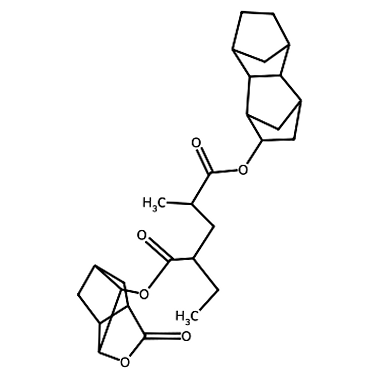 CCC(CC(C)C(=O)OC1CC2CC1C1C3CCC(C3)C21)C(=O)OC1C2CC3C(=O)OC1C3C2